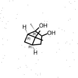 CC1(C)[C@H]2CC(O)[C@](C)(O)[C@@H]1C2